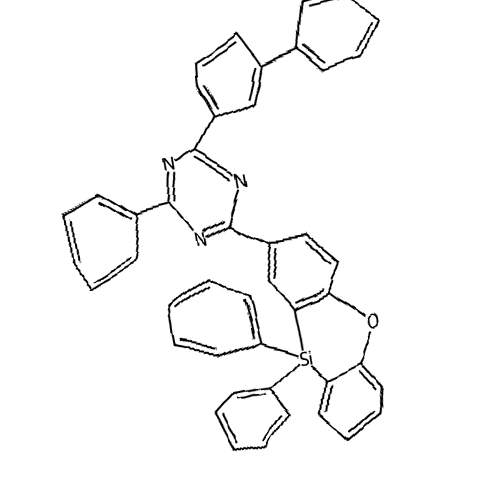 c1ccc(-c2cccc(-c3nc(-c4ccccc4)nc(-c4ccc5c(c4)[Si](c4ccccc4)(c4ccccc4)c4ccccc4O5)n3)c2)cc1